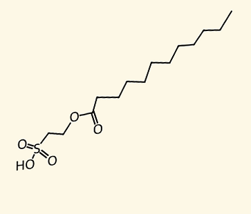 CCCCCCCCCCCC(=O)OCCS(=O)(=O)O